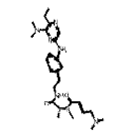 CCc1ncc(Nc2cccc(CCNC(=O)[C@H](C)N(C)C(=O)/C=C/CN(C)C)c2)nc1N(C)C